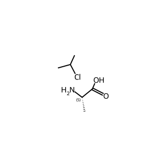 CC(C)Cl.C[C@H](N)C(=O)O